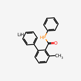 Cc1cccc(-c2ccccc2)c1C(=O)Pc1ccccc1.[LiH]